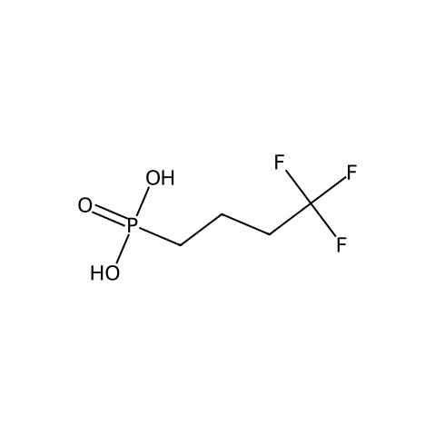 O=P(O)(O)CCCC(F)(F)F